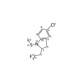 FC(F)(F)CC1Cc2cc(Cl)ccc2N1SI